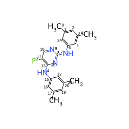 Cc1cc(C)cc(Nc2ncc(F)c(Nc3cc(C)cc(C)c3)n2)c1